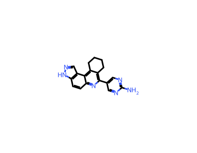 Nc1ncc(-c2nc3ccc4[nH]ncc4c3c3c2CCCC3)cn1